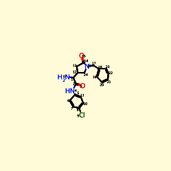 NC(C(=O)Nc1ccc(Cl)cc1)C1CC(=O)N(Cc2ccccc2)C1